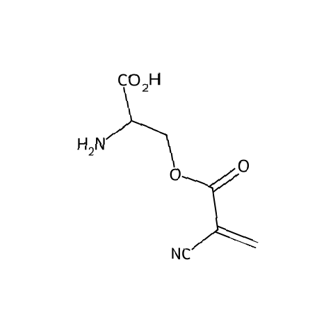 C=C(C#N)C(=O)OCC(N)C(=O)O